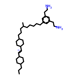 CCCC1CCC(/C=C/C2CCC(CCCC(C)CCCCCc3cc(CCN)cc(CCN)c3)CC2)CC1